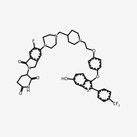 O=C1CCC(N2Cc3cc(N4CCN(CC5CCN(CCOc6ccc(Oc7c(-c8ccc(C(F)(F)F)cc8)sc8cc(O)ccc78)cc6)CC5)CC4)c(F)cc3C2=O)C(=O)N1